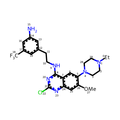 CCN1CCN(c2cc3c(NCCc4cc(N)cc(C(F)(F)F)c4)nc(Cl)nc3cc2OC)CC1